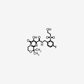 CC1(C)OCCn2c1nc(C(=O)NCc1ccc(F)cc1S(=O)(=O)CCO)c(O)c2=O